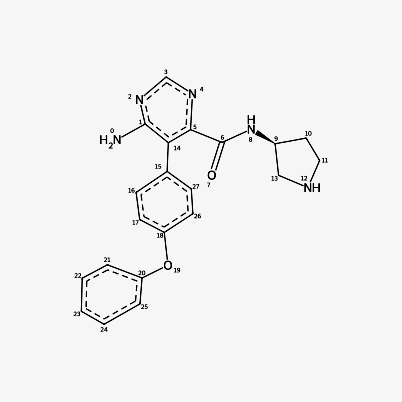 Nc1ncnc(C(=O)N[C@H]2CCNC2)c1-c1ccc(Oc2ccccc2)cc1